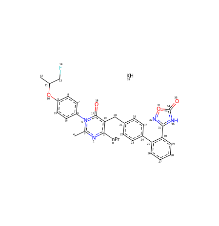 CCCc1nc(C)n(-c2ccc(OC(C)CF)cc2)c(=O)c1Cc1ccc(-c2ccccc2-c2noc(=O)[nH]2)cc1.[KH]